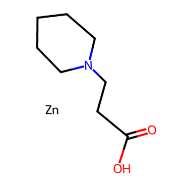 O=C(O)CCN1CCCCC1.[Zn]